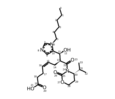 CCCCCCn1cncc1[C@@H](O)[C@H](C/C=C\CCC(=O)O)C(=O)N1C(=O)OCC[C@H]1C(C)C